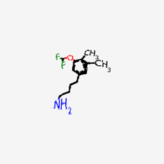 Cc1cc(CCCCN)cc(OC(F)F)c1C